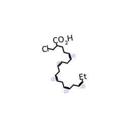 CC/C=C\C/C=C\C/C=C\C/C=C\C/C=C\CCC(CCl)C(=O)O